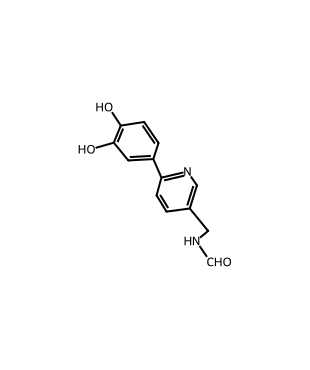 O=CNCc1ccc(-c2ccc(O)c(O)c2)nc1